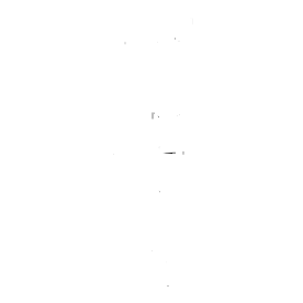 CCCS(=O)(=O)N(C)c1cccc(C(=O)N[C@@H](Cc2ccccc2)[C@@H](O)CNCc2ccc(Br)s2)c1